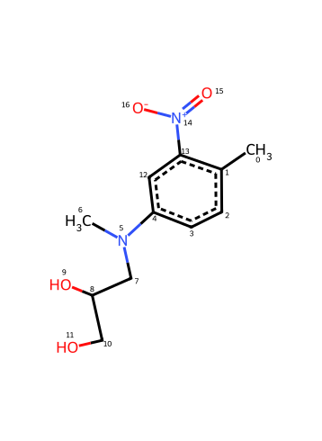 Cc1ccc(N(C)CC(O)CO)cc1[N+](=O)[O-]